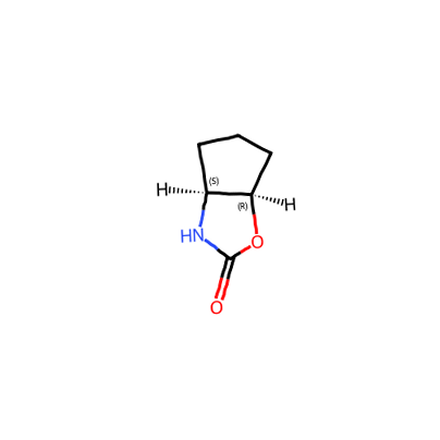 O=C1N[C@H]2CCC[C@H]2O1